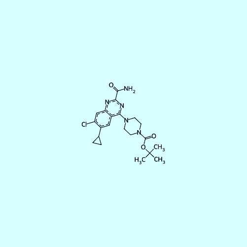 CC(C)(C)OC(=O)N1CCN(c2nc(C(N)=O)nc3cc(Cl)c(C4CC4)cc23)CC1